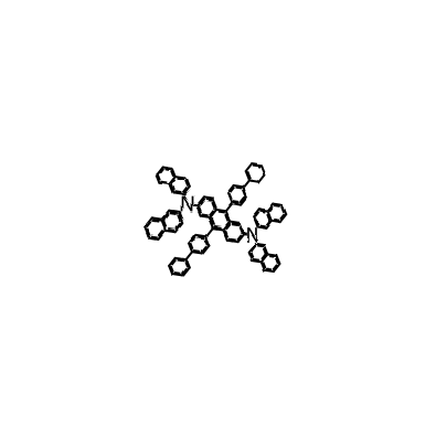 C1=CCCC(c2ccc(-c3c4ccc(N(c5ccc6ccccc6c5)c5ccc6ccccc6c5)cc4c(-c4ccc(-c5ccccc5)cc4)c4ccc(N(c5ccc6ccccc6c5)c5ccc6ccccc6c5)cc34)cc2)=C1